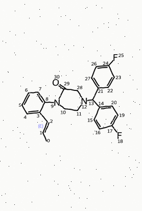 C/C=C/c1ccccc1N1CCN(C(c2ccc(F)cc2)c2ccc(F)cc2)CC1=O